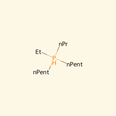 CCCCC[PH](CC)(CCC)CCCCC